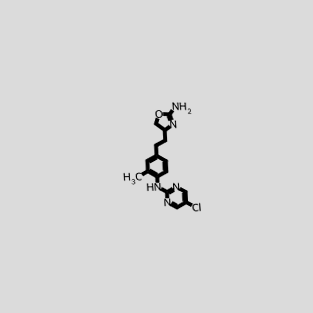 Cc1cc(CCC2COC(N)=N2)ccc1Nc1ncc(Cl)cn1